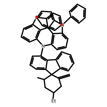 C=C1CC(CC)CC(C)C12c1ccccc1-c1c(N(c3cccc4sc5ccccc5c34)c3cccc4c3c3ccccc3n4-c3ccccc3)cccc12